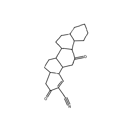 N#CC1=CC2C(CCC3C2CC(=O)C2C4CCCCC4CCC32)CC1=O